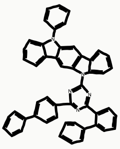 c1ccc(-c2ccc(-c3nc(-c4ccccc4-c4ccccc4)nc(-n4c5ccccc5c5cc6c(cc54)c4ccccc4n6-c4ccccc4)n3)cc2)cc1